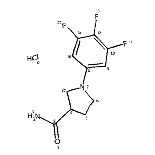 Cl.NC(=O)C1CCN(c2cc(F)c(F)c(F)c2)C1